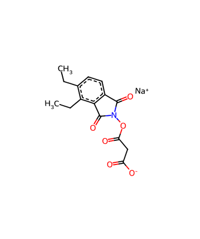 CCc1ccc2c(c1CC)C(=O)N(OC(=O)CC(=O)[O-])C2=O.[Na+]